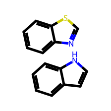 c1ccc2[nH]ccc2c1.c1ccc2scnc2c1